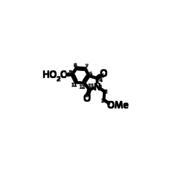 COCCN1C(=O)c2ccc(C(=O)O)cc2C1=O